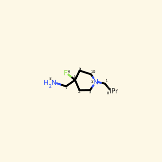 CC(C)CN1CCC(F)(CN)CC1